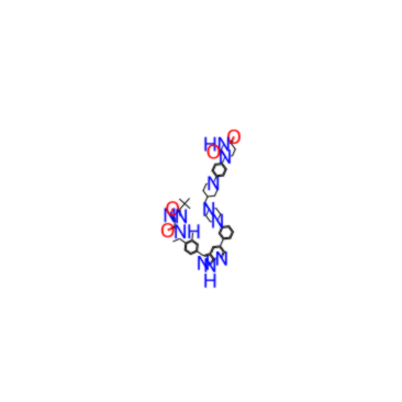 Cc1cc(-c2n[nH]c3ncc(-c4cccc(N5CCN(CC6CCN(c7ccc(N8CCC(=O)NC8=O)cc7)CC6)CC5)c4)cc23)ccc1C(C)NC(=O)c1noc(C(C)(C)C)n1